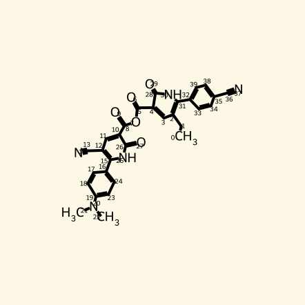 CCc1cc(C(=O)OC(=O)c2cc(C#N)c(-c3ccc(N(C)C)cc3)[nH]c2=O)c(=O)[nH]c1-c1ccc(C#N)cc1